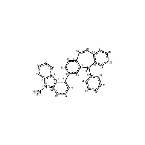 Nn1c2ccccc2c2c(-c3ccc4c(c3)N(c3ccccc3)c3ccccc3C=C4)cccc21